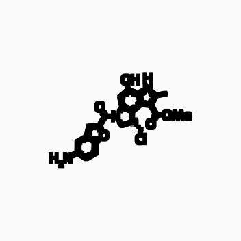 COC(=O)c1c(C)[nH]c2c(O)cc3c(c12)[C@H](CCl)CN3C(=O)c1cc2cc(N)ccc2o1